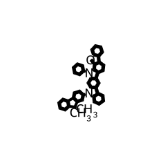 CC1(C)c2ccccc2-c2ccc(-n3c4ccccc4c4cc5c6ccc7c8ccccc8oc7c6n(-c6ccccc6)c5cc43)cc21